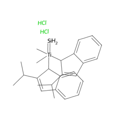 CC(C)C1=Cc2ccccc2[CH]1[Ti]([CH3])([CH3])(=[SiH2])[CH]1C(C(C)C)=Cc2ccccc21.Cl.Cl